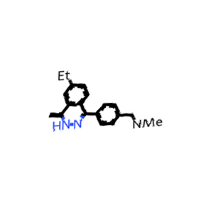 C=C1NN=C(c2ccc(CNC)cc2)c2ccc(CC)cc21